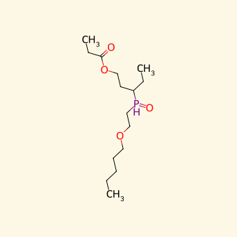 CCCCCOCC[PH](=O)C(CC)CCOC(=O)CC